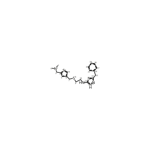 CN(C)Cc1cc(CSCCNc2nc(Cc3ccccc3)n[nH]2)cs1